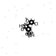 COc1ccc(Cl)cc1-c1n[nH]c(=O)c2cc(S(=O)(=O)O)ccc12